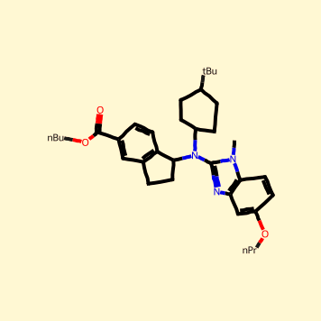 CCCCOC(=O)c1ccc2c(c1)CCC2N(c1nc2cc(OCCC)ccc2n1C)C1CCC(C(C)(C)C)CC1